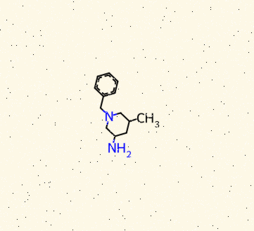 CC1CC(N)CN(Cc2ccccc2)C1